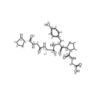 C[C@H](NC(=O)CNC(=O)[C@@H]1CCCN1)C(=O)N[C@@H](Cc1ccc(O)cc1)C(=O)N1CCC[C@H]1C(=O)NCC(=O)O